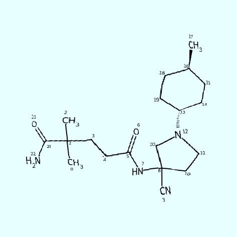 CC(C)(C[CH]C(=O)NC1(C#N)CCN([C@H]2CC[C@H](C)CC2)C1)C(N)=O